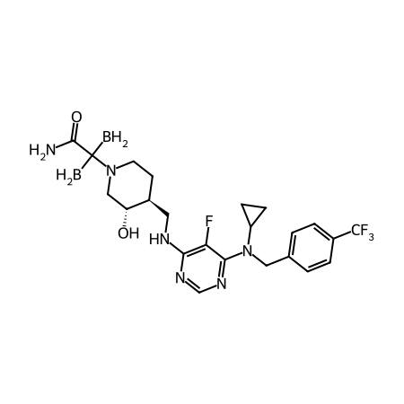 BC(B)(C(N)=O)N1CC[C@@H](CNc2ncnc(N(Cc3ccc(C(F)(F)F)cc3)C3CC3)c2F)[C@H](O)C1